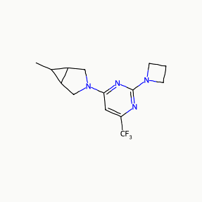 CC1C2CN(c3cc(C(F)(F)F)nc(N4CCC4)n3)CC12